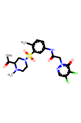 COC(=O)C1CN(S(=O)(=O)c2cc(NC(=O)Cn3ncc(Cl)c(Cl)c3=O)ccc2C)CCN1C